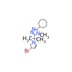 Cn1c(C2CCCCCC2)nnc1C(C)(C)N1C=CC(Br)C1